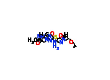 C[C@@H]1OCC2(CCN(c3nc(N)c(Sc4ccnc5c4OC[C@@H]4CC(COCC6CC6)CN54)c(=O)n3C)CC2)[C@@H]1N